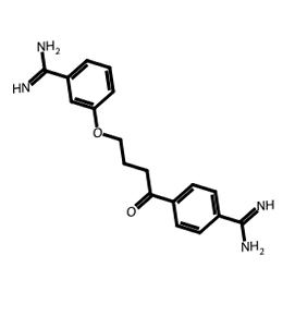 N=C(N)c1ccc(C(=O)CCCOc2cccc(C(=N)N)c2)cc1